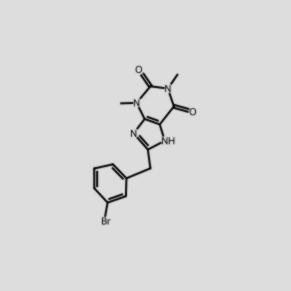 Cn1c(=O)c2[nH]c(Cc3cccc(Br)c3)nc2n(C)c1=O